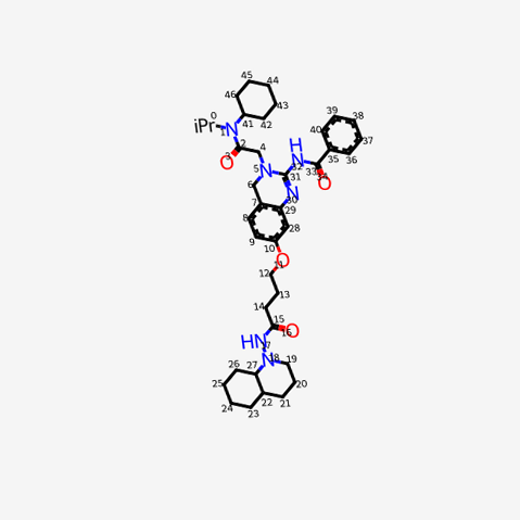 CC(C)N(C(=O)CN1Cc2ccc(OCCCC(=O)NN3CCCC4CCCCC43)cc2N=C1NC(=O)c1ccccc1)C1CCCCC1